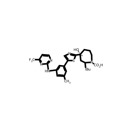 Cc1cc(Nc2nccc(C(F)(F)F)n2)cc(-c2cnc([C@@]3(O)CCCN(C(=O)O)C(C(C)(C)C)C3)s2)c1